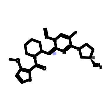 C=NN1C=C(C)C(N2CC[C@H](N)C2)=N/C1=C/C1CCCCN1C(=O)c1sccc1OC